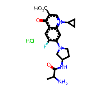 CC(N)C(=O)NC1CCN(c2cc3c(cc2F)c(=O)c(C(=O)O)cn3C2CC2)C1.Cl